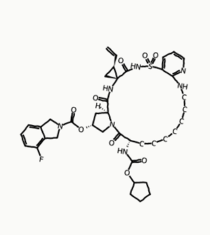 C=C[C@@H]1C[C@@]12NC(=O)[C@@H]1C[C@@H](OC(=O)N3Cc4cccc(F)c4C3)CN1C(=O)[C@@H](NC(=O)OC1CCCC1)CCCCCCCNc1ncccc1S(=O)(=O)NC2=O